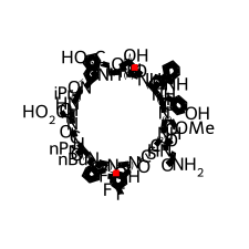 CCCC[C@H]1C(=O)N(CCC)CC(=O)N[C@@H](CC(=O)O)C(=O)N[C@@H](C(C)C)C(=O)N(C)C(Cc2ccccc2)C(=O)N[C@@H](CCC(=O)O)C(=O)N2C[C@H](O)C[C@@H]2C(=O)N[C@@H](Cc2c[nH]c3ccccc23)C(=O)N[C@@H](Cc2ccc(O)cc2)C(=O)N[C@@H](CCOC)C(=O)N[C@H](C(=O)NCC(N)=O)CSCC(=O)N[C@@H](Cc2cc(F)c(F)c(F)c2)C(=O)N(C)[C@@H](Cc2ccccc2)C(=O)N1C